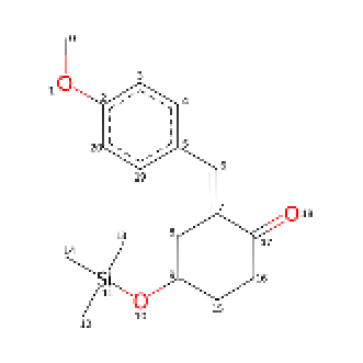 COc1ccc(C=C2CC(O[Si](C)(C)C)CCC2=O)cc1